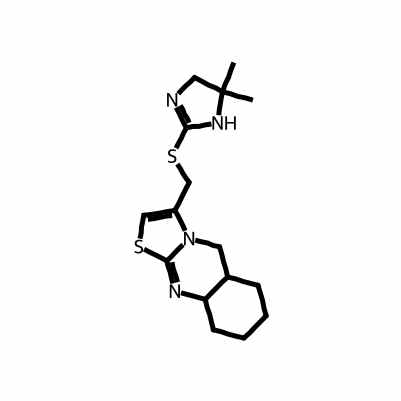 CC1(C)CN=C(SCC2=CSC3=NC4CCCCC4CN23)N1